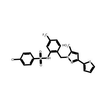 O=C(O)c1cc(-c2cccs2)nn1Cc1ccc(C(F)(F)F)cc1NS(=O)(=O)c1ccc(Cl)cc1